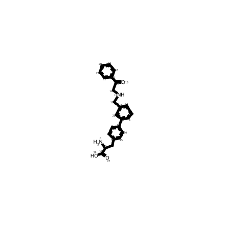 NC(Cc1ccc(-c2cccc(CNCC(=O)c3ccccc3)c2)cc1)C(=O)O